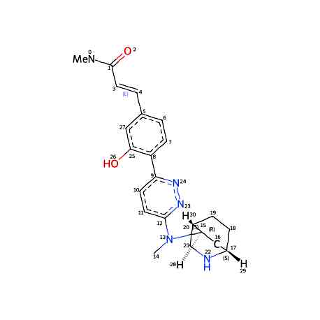 CNC(=O)/C=C/c1ccc(-c2ccc(N(C)[C@@H]3C[C@@H]4CC[C@H]3CN4)nn2)c(O)c1